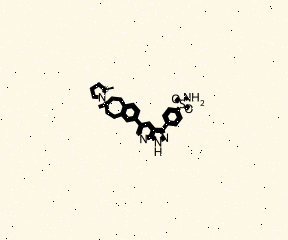 C[C@@H]1CCCN1C1(C)CCc2ccc(-c3cnc4[nH]nc(-c5ccc(S(N)(=O)=O)cc5)c4c3)cc2CC1